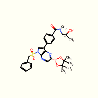 C[C@H](O)CN(C)C(=O)c1ccc(-c2cn(S(=O)(=O)Cc3ccccc3)c3ncc(B4OC(C)(C)C(C)(C)O4)nc23)cc1